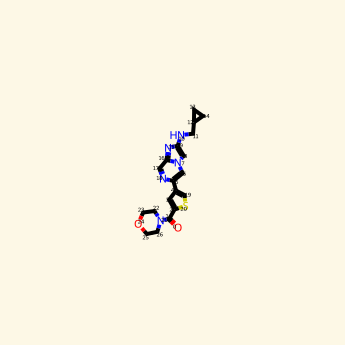 O=C(c1cc(-c2cn3cc(NCC4CC4)nc3cn2)cs1)N1CCOCC1